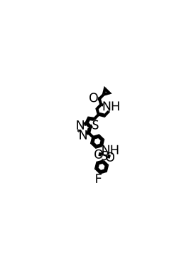 O=C(C1CC1)C1CC(c2cc3ncnc(-c4ccc(NS(=O)(=O)c5ccc(F)cc5)cc4)c3s2)=CCN1